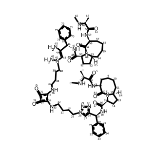 CN[C@@H](C)C(=O)N[C@H]1CCCC[C@H]2CC[C@@H](C(=O)N[C@@H](c3ccccc3)c3cn(CCCCNc4c(NCCCCN(N)/C=C(\N)[C@@H](NC(=O)[C@@H]5CC[C@@H]6CCCC[C@H](NC(=O)[C@H](C)NC)C(=O)N65)c5ccccc5)c(=O)c4=O)nn3)N2C1=O